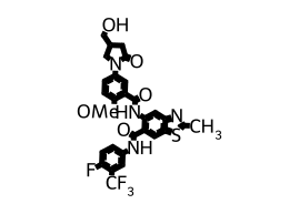 COc1ccc(N2CC(CO)CC2=O)cc1C(=O)Nc1cc2nc(C)sc2cc1C(=O)Nc1ccc(F)c(C(F)(F)F)c1